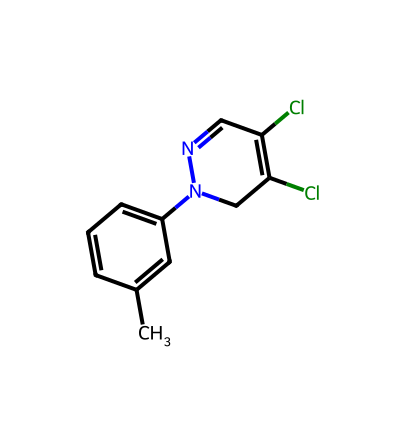 Cc1cccc(N2CC(Cl)=C(Cl)C=N2)c1